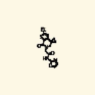 CCc1cc2c(s1)C(=O)N(CC(=O)Nc1ncco1)CC21CC1